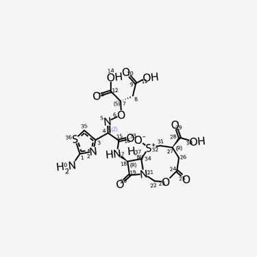 Nc1nc(/C(=N/O[C@@H](CC(=O)O)C(=O)O)C(=O)N[C@@H]2C(=O)N3COC(=O)C[C@H](C(=O)O)C[S+]([O-])[C@H]23)cs1